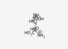 NC(=O)CC[C@H](NC(=O)CC[C@@H]1CNc2nc(N)nc(O)c2C1)C(=O)O